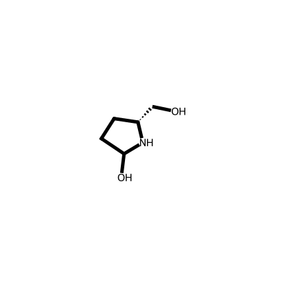 OC[C@H]1CCC(O)N1